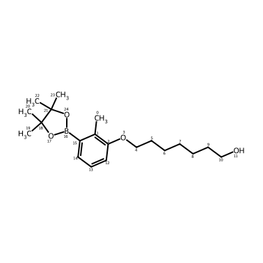 Cc1c(OCCCCCCCO)cccc1B1OC(C)(C)C(C)(C)O1